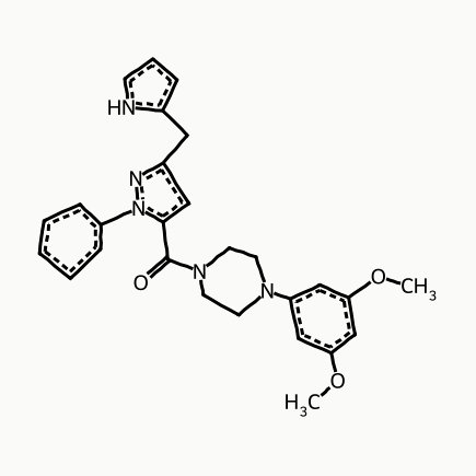 COc1cc(OC)cc(N2CCN(C(=O)c3cc(Cc4ccc[nH]4)nn3-c3ccccc3)CC2)c1